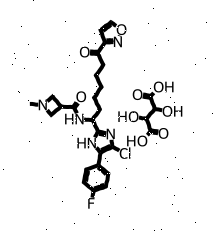 CN1CC(C(=O)NC(CCCCCC(=O)c2ccon2)c2nc(Cl)c(-c3ccc(F)cc3)[nH]2)C1.O=C(O)C(O)C(O)C(=O)O